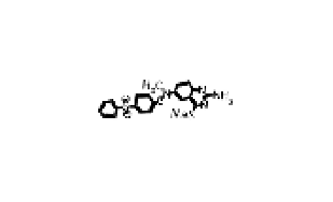 CSc1nc(N)nc2ccc(N(C)Cc3ccc(S(=O)(=O)c4ccccc4)cc3)cc12